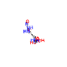 C[C@@H](O)[C@H](NC(=O)c1ccc(C#Cc2ccc(NC(=O)CNCCCN3CCOCC3)cc2)cc1)C(=O)NO